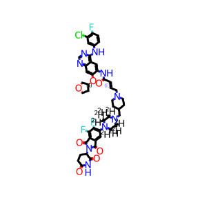 [2H]C1([2H])N(CC2CCN(C/C=C/C(=O)Nc3cc4c(Nc5ccc(F)c(Cl)c5)ncnc4cc3O[C@H]3CCOC3)CC2)C([2H])([2H])C([2H])([2H])N(c2cc3c(c(F)c2F)C(=O)N(C2CCC(=O)NC2=O)C3=O)C1([2H])[2H]